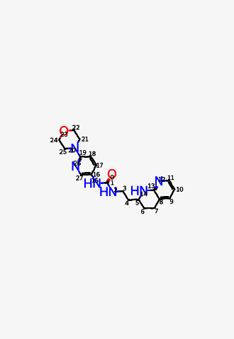 O=C(NCCC1CCc2cccnc2N1)Nc1ccc(N2CCOCC2)nc1